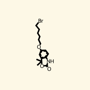 CC1(C)OC(=O)Nc2ccc(OCCCCCCBr)cc21